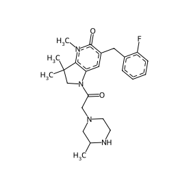 CC1CN(CC(=O)N2CC(C)(C)c3c2cc(Cc2ccccc2F)c(=O)n3C)CCN1